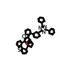 c1ccc(-c2nc(-c3ccccc3)nc(-c3cccc(-c4cccc5oc6c(-c7cccc8sc9cccc(-c%10ccccc%10)c9c78)cccc6c45)c3)n2)cc1